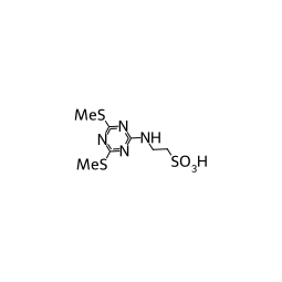 CSc1nc(NCCS(=O)(=O)O)nc(SC)n1